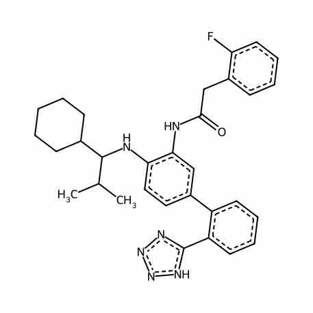 CC(C)C(Nc1ccc(-c2ccccc2-c2nnn[nH]2)cc1NC(=O)Cc1ccccc1F)C1CCCCC1